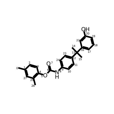 Cc1ccc(OC(=O)Nc2ccc(C(C)(C)c3cccc(O)c3)cc2)c(C)c1